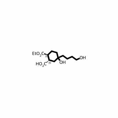 CCOC(=O)[C@H]1CCC(O)(CCCCO)C[C@@H]1C(=O)O